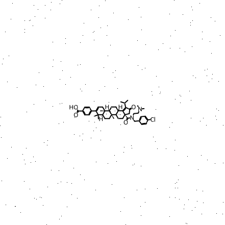 CC(C)C1=C2[C@H]3CC[C@@H]4[C@@]5(C)CC=C(c6ccc(C(=O)O)cc6)C(C)(C)[C@@H]5CC[C@@]4(C)[C@]3(C)CC[C@@]2(C(=O)N(CCN(C)C)Cc2ccc(Cl)cc2)CC1=O